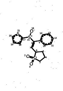 O=S1(=O)CCCC1/C=C(\c1ccccc1)[S+]([O-])c1cccs1